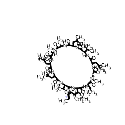 C=C1NC(CC)C(=O)N(C)CC(=O)N(C)C(CC(C)C)C(=O)NC(C(C)C)C(=O)N(C)C(CC(C)C)C(=O)NC(C)C(=O)NC(C)C(=O)N(C)C(CC(C)C)C(=O)N(C)C(CC(C)C)C(=O)N(C)C(C(C)C)C(=O)N(C)C1C(OC)C(C)C/C=C/C